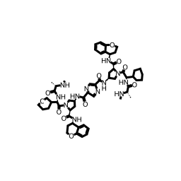 CN[C@@H](C)C(=O)N[C@H](C(=O)N1C[C@@H](NC(=O)c2cnc(C(=O)N[C@H]3C[C@@H](C(=O)N[C@@H]4CCOc5ccccc54)N(C(=O)[C@@H](NC(=O)[C@H](C)NC)C4CCCCC4)C3)cn2)C[C@H]1C(=O)N[C@@H]1CCOc2ccccc21)C1CCCCC1